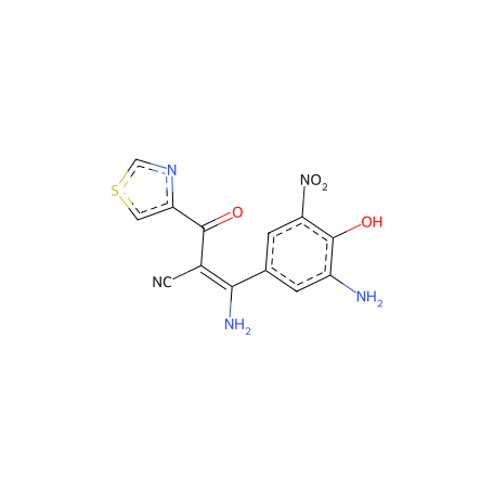 N#CC(C(=O)c1cscn1)=C(N)c1cc(N)c(O)c([N+](=O)[O-])c1